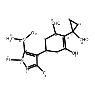 CCn1nc(Cl)c(C2CC(O)=C(C3(C=O)CC3)C(C=O)C2)c1[S+](C)[O-]